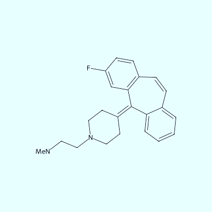 CNCCN1CCC(=C2c3ccccc3C=Cc3ccc(F)cc32)CC1